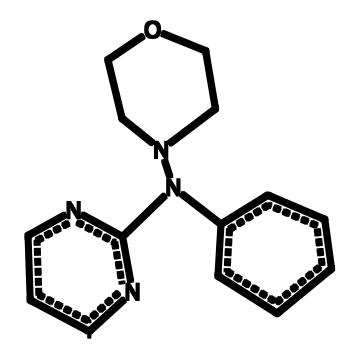 [c]1ccnc(N(c2ccccc2)N2CCOCC2)n1